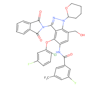 O=C(Nc1cc(CO)c2c(c(N3C(=O)c4ccccc4C3=O)nn2C2CCCCO2)c1Oc1cc(F)ccc1Cl)c1cc(F)cc(C(F)(F)F)c1